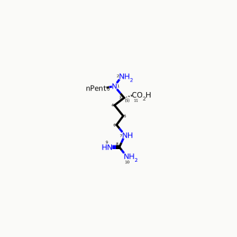 CCCCCN(N)[C@@H](CCCNC(=N)N)C(=O)O